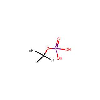 CCCC(C)(CC)OP(=O)(O)O